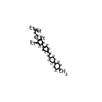 CCc1cc(-c2ccc(CCC3CCC(C4CCC(C)CC4)CC3)cc2)cc(CC)c1OCCC(CC)CC